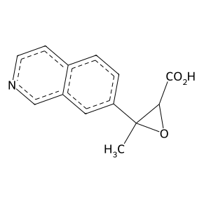 CC1(c2ccc3ccncc3c2)OC1C(=O)O